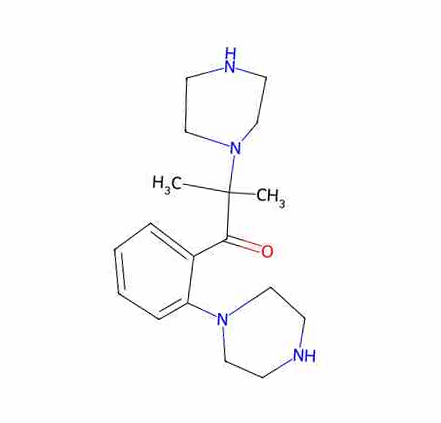 CC(C)(C(=O)c1ccccc1N1CCNCC1)N1CCNCC1